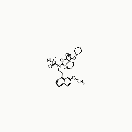 COc1ccc2cccc(CCN(C(C)=O)C(=O)OC(C)C3(C(=O)OC4CCCCC4)CCCCC3)c2c1